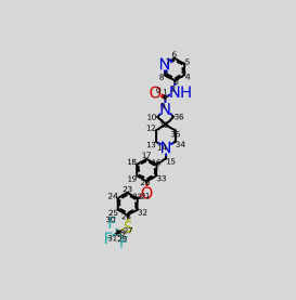 O=C(Nc1cccnc1)N1CC2(CCN(Cc3cccc(Oc4cccc(SC(F)(F)F)c4)c3)CC2)C1